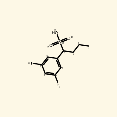 CCCC(c1cc(F)cc(F)c1)S(=O)(=O)O